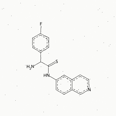 NC(C(=S)Nc1ccc2cnccc2c1)c1ccc(F)cc1